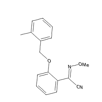 CON=C(C#N)c1ccccc1OCc1ccccc1C